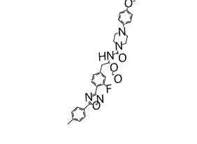 COc1ccc(N2CCN(C(=O)NC(Cc3ccc(-c4noc(-c5ccc(C)cc5)n4)c(F)c3)OC=O)CC2)cc1